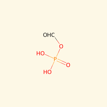 O=COP(=O)(O)O